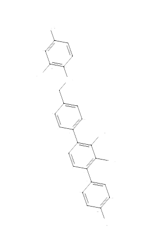 CCCCc1ccc(OCc2ccc(-c3ccc(-c4ccc(CC)cc4)c(F)c3F)cc2)c(F)c1